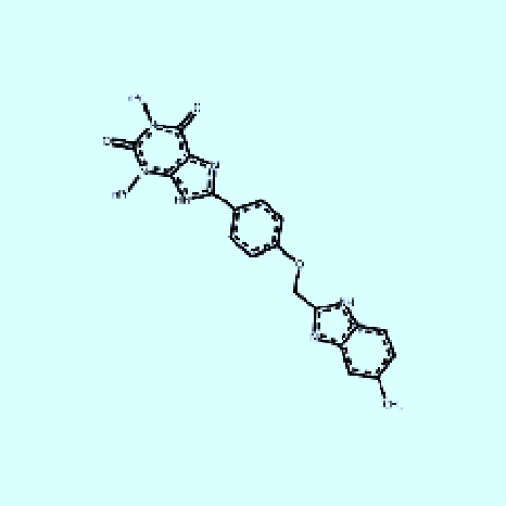 CCCn1c(=O)c2nc(-c3ccc(OCc4nc5cc(C)ccc5[nH]4)cc3)[nH]c2n(CCC)c1=O